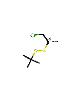 C[C@@H](CCl)SSC(C)(C)C